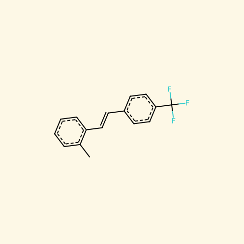 Cc1ccccc1C=Cc1ccc(C(F)(F)F)cc1